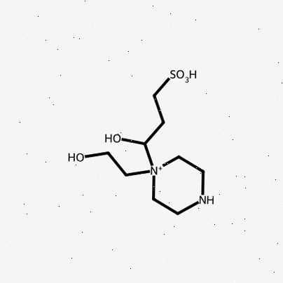 O=S(=O)(O)CCC(O)[N+]1(CCO)CCNCC1